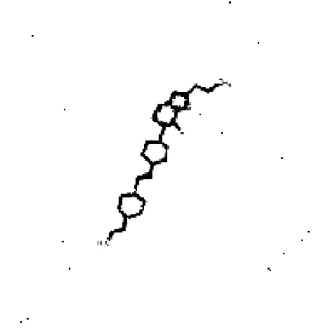 CCCc1cc2ccc(C3CCC(/C=C/C4CCC(CCC)CC4)CC3)c(F)c2s1